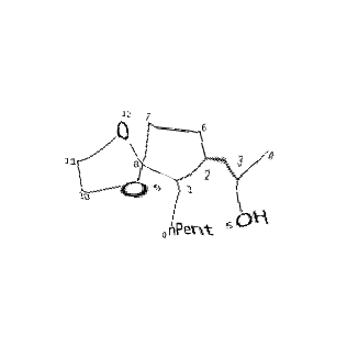 CCCCCC1C(C(C)O)CCC12OCCO2